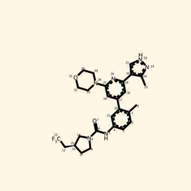 Cc1ccc(NC(=O)N2CC[C@@H](CC(F)(F)F)C2)cc1-c1cc(-c2c[nH]nc2C)nc(N2CCOCC2)c1